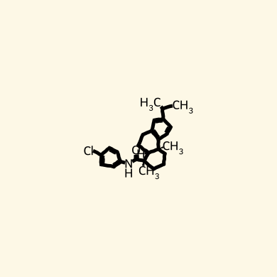 CC(C)c1ccc2c(c1)CC[C@H]1[C@@](C)(C(=O)Nc3ccc(Cl)cc3)CCC[C@]21C